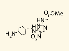 COC(=O)CNc1ncc([N+](=O)[O-])c(NC[C@H]2CC[C@H](N)CC2)n1